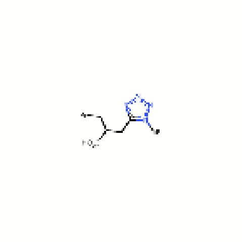 CCCn1nnnc1CC(CC(C)C)C(=O)O